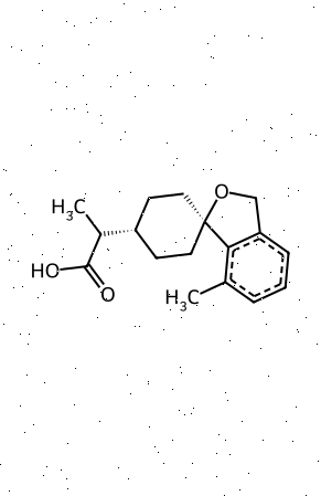 Cc1cccc2c1[C@]1(CC[C@@H](C(C)C(=O)O)CC1)OC2